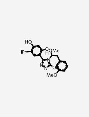 COc1cccc(CC(OC)n2c(O)nnc2-c2cc(C(C)C)c(O)cc2O)c1